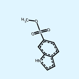 COS(=O)(=O)c1ccc2cc[nH]c2c1